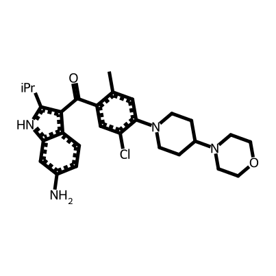 Cc1cc(N2CCC(N3CCOCC3)CC2)c(Cl)cc1C(=O)c1c(C(C)C)[nH]c2cc(N)ccc12